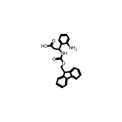 Nc1ccccc1C(CC(=O)O)NC(=O)OCC1c2ccccc2-c2ccccc21